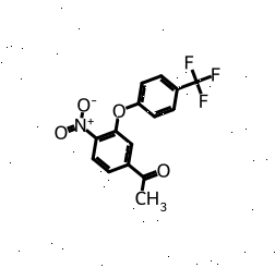 CC(=O)c1ccc([N+](=O)[O-])c(Oc2ccc(C(F)(F)F)cc2)c1